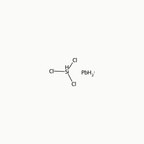 Cl[SiH](Cl)Cl.[PbH2]